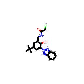 CC(C)(C)C1=CC(=CNC(=O)CCl)C(O)C(n2nc3ccccc3n2)=C1